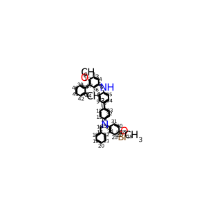 COc1ccc(Nc2ccc(-c3ccc(N(Cc4ccccc4)C4=CCC(Br)(OC)C=C4)cc3)cc2)cc1-c1ccccc1C